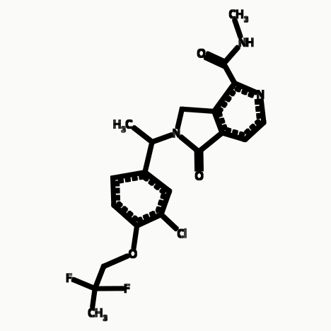 CNC(=O)c1nccc2c1CN(C(C)c1ccc(OCC(C)(F)F)c(Cl)c1)C2=O